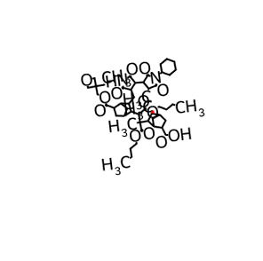 CCCCOC(=O)C(C1C2CC(C(=O)OCC3(CC)COC3)C(C2)C1CC1C(=O)NC(=O)C1C1C(=O)N(C2CCCCC2)C(=O)C1C)C(C)(C(=O)OCCCC)C1C(C)C2CC(C(=O)O)C1C2